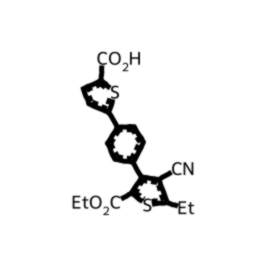 CCOC(=O)c1sc(CC)c(C#N)c1-c1ccc(-c2ccc(C(=O)O)s2)cc1